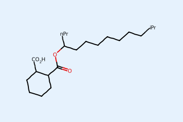 CCCC(CCCCCCCC(C)C)OC(=O)C1CCCCC1C(=O)O